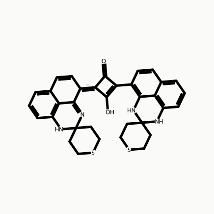 O=C1C(c2ccc3cccc4c3c2NC2(CCSCC2)N4)=C(O)/C1=c1/ccc2cccc3c2c1=NC1(CCSCC1)N3